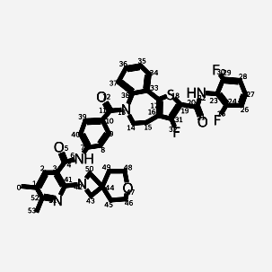 Cc1cc(C(=O)Nc2ccc(C(=O)N3CCc4c(sc(C(=O)Nc5c(F)cccc5F)c4F)-c4ccccc43)cc2)c(N2CC3(CCOCC3)C2)nc1C